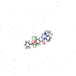 CN1CCN(C(=O)c2cc(Cl)c(OCc3ccccc3)c(Cl)c2)c2ccccc21